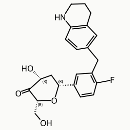 O=C1[C@H](O)C[C@H](c2ccc(F)c(Cc3ccc4c(c3)CCCN4)c2)O[C@@H]1CO